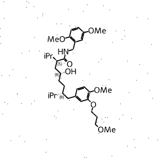 COCCCOc1cc(C[C@@H](CC[C@@H](O)C[C@H](C(=O)NCc2cc(OC)ccc2OC)C(C)C)C(C)C)ccc1OC